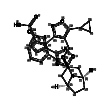 O=C(O)c1ccc(-c2noc(N3[C@@H]4CC[C@H]3C[C@@H](OCc3c(-c5c(Cl)cccc5Cl)noc3C3CC3)C4)n2)s1